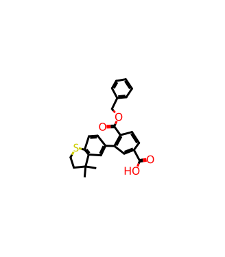 CC1(C)CCSc2ccc(-c3cc(C(=O)O)ccc3C(=O)OCc3ccccc3)cc21